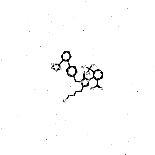 CCCCCc1cn(-c2c(C(=O)O)cccc2C(C)(C)C)c(=O)n1Cc1ccc(-c2ccccc2-c2nnn[nH]2)cc1